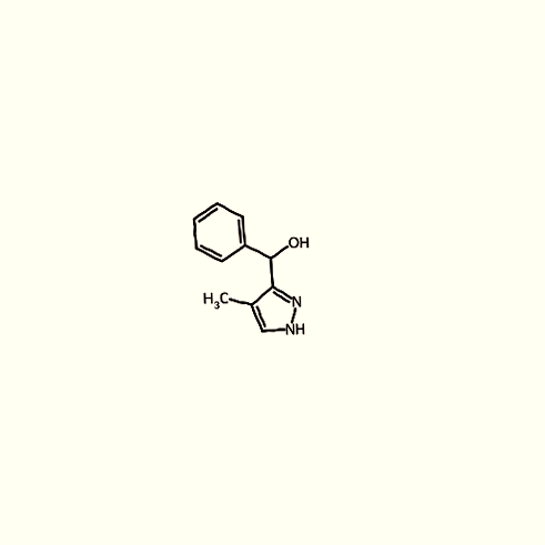 Cc1c[nH]nc1C(O)c1ccccc1